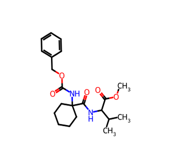 COC(=O)C(NC(=O)C1(NC(=O)OCc2ccccc2)CCCCC1)C(C)C